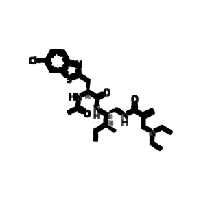 C=C(CN(CC)CC)C(=O)NC[C@@H](NC(=O)[C@H](Cc1nc2ccc(Cl)cc2s1)NC(C)=O)[C@@H](C)CC